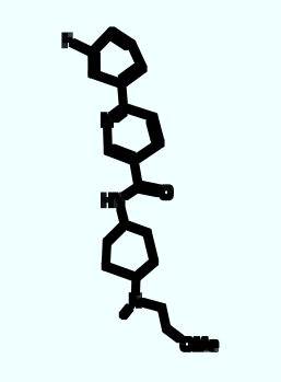 COCCN(C)C1CCC(NC(=O)c2ccc(-c3cccc(F)c3)nc2)CC1